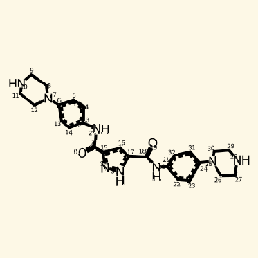 O=C(Nc1ccc(N2CCNCC2)cc1)c1cc(C(=O)Nc2ccc(N3CCNCC3)cc2)[nH]n1